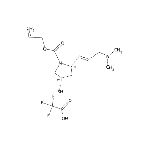 C=CCOC(=O)N1C[C@@H](S)C[C@H]1C=CCN(C)C.O=C(O)C(F)(F)F